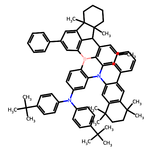 Cc1cc2c3c(c1)N(c1cc4c(cc1-c1ccccc1)C(C)(C)CCC4(C)C)c1cc(N(c4ccc(C(C)(C)C)cc4)c4ccc(C(C)(C)C)cc4)ccc1B3c1cc(-c3ccccc3)cc3c1C2C1(C)CCCCC31C